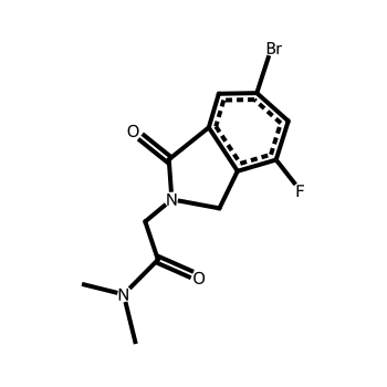 CN(C)C(=O)CN1Cc2c(F)cc(Br)cc2C1=O